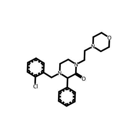 O=C1C(c2ccccc2)N(Cc2ccccc2Cl)CCN1CCN1CCOCC1